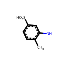 Cc1ccc(S(=O)(=O)O)cc1[NH]